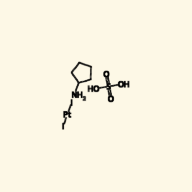 NC1CCCC1.O=S(=O)(O)O.[I][Pt][I]